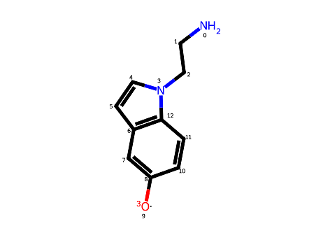 NCCn1ccc2cc([3O])ccc21